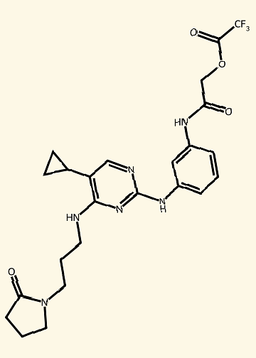 O=C(COC(=O)C(F)(F)F)Nc1cccc(Nc2ncc(C3CC3)c(NCCCN3CCCC3=O)n2)c1